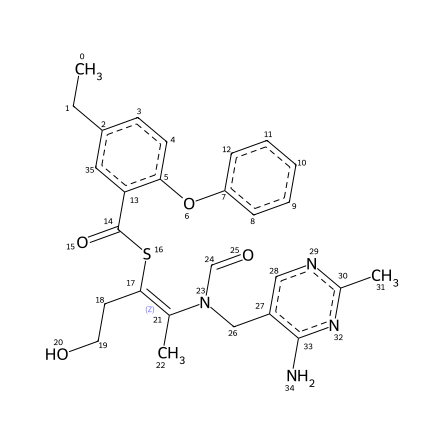 CCc1ccc(Oc2ccccc2)c(C(=O)S/C(CCO)=C(/C)N(C=O)Cc2cnc(C)nc2N)c1